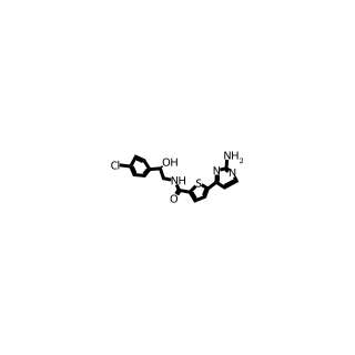 Nc1nccc(-c2ccc(C(=O)NC[C@@H](O)c3ccc(Cl)cc3)s2)n1